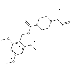 COc1cc(OC)c(COC(=O)N2CCN(C[C]=O)CC2)c(OC)c1